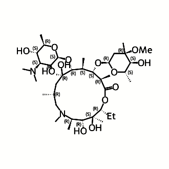 CC[C@H]1OC(=O)[C@H](C)[C@@H](O[C@H]2C[C@@](C)(OC)[C@@H](O)[C@H](C)O2)[C@H](C)[C@@H](O[C@@H]2O[C@H](C)[C@@H](O)[C@H](N(C)C)[C@H]2O)[C@](C)(O)C[C@@H](C)CN(C)[C@H](C)[C@@H](O)[C@]1(C)O